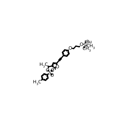 Cc1ccc(S(=O)(=O)OC(C)c2cc(C#Cc3ccc(OCCCO[Si](C)(C)C(C)(C)C)cc3)on2)cc1